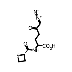 [N-]=[N+]=CC(=O)CCC(NC(=O)[C@@H]1CCS1)C(=O)O